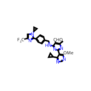 COc1ncnc(C2CC2)c1-c1nc(C)c(C=O)c(NCc2ccc(-c3nc(C(F)(F)F)cn3C3CC3)cc2)n1